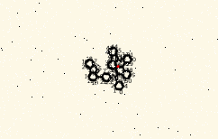 c1ccc(N(c2ccc(-c3cccc4c3sc3ccccc34)cc2)c2ccc(-c3ccccc3-n3c4ccccc4c4ccccc43)c3ccccc23)cc1